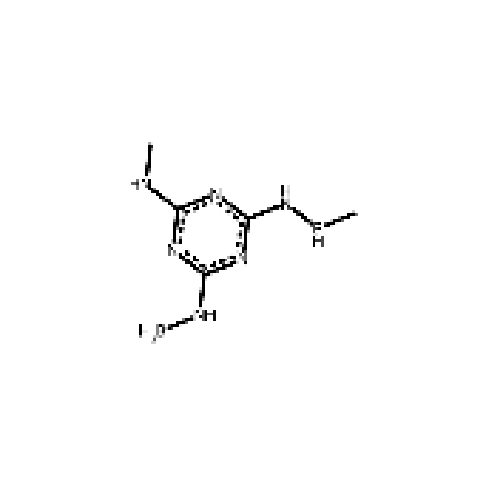 BNc1nc(NC)nc(NBC)n1